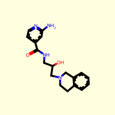 Nc1cc(C(=O)NCC(O)CN2CCc3ccccc3C2)ccn1